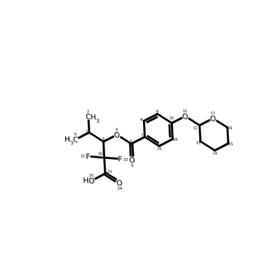 CC(C)C(OC(=O)c1ccc(OC2CCCCO2)cc1)C(F)(F)C(=O)O